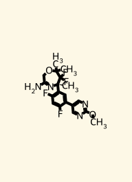 COc1ncc(-c2cc([C@@]3(C)N=C(N)COC(C)(C)C3(F)F)c(F)cc2F)cn1